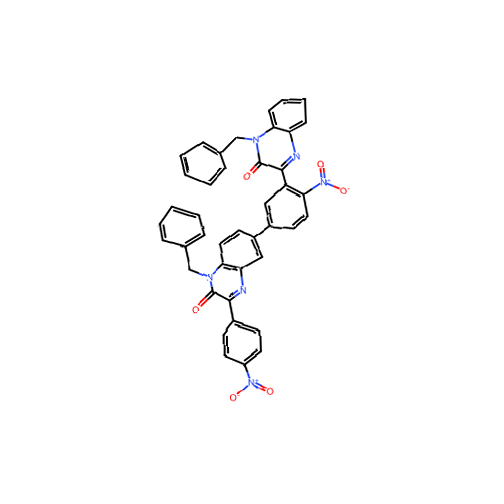 O=c1c(-c2ccc([N+](=O)[O-])cc2)nc2cc(-c3ccc([N+](=O)[O-])c(-c4nc5ccccc5n(Cc5ccccc5)c4=O)c3)ccc2n1Cc1ccccc1